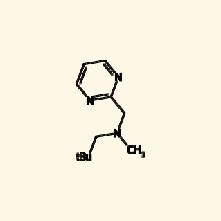 CN(Cc1ncccn1)CC(C)(C)C